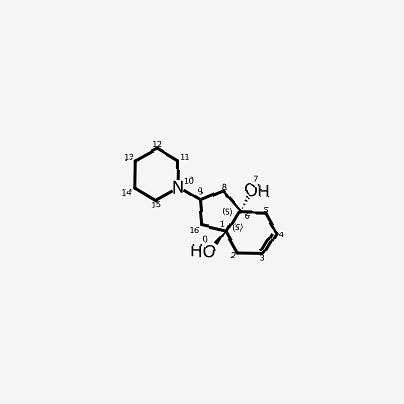 O[C@]12CC=CC[C@]1(O)CC(N1CCCCC1)C2